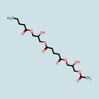 CCCCC(=O)OCC(O)COC(=O)CCCC(=O)OCC(O)COC(C)=O